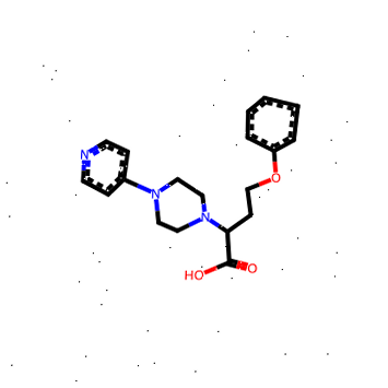 O=C(O)C(CCOc1ccccc1)N1CCN(c2ccncc2)CC1